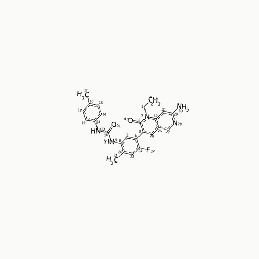 CCn1c(=O)c(-c2cc(NC(=O)Nc3ccc(C)cc3)c(C)cc2F)cc2cnc(N)cc21